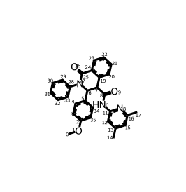 COc1ccc(C2C(C(=O)Nc3cc(C)cc(C)n3)c3ccccc3C(=O)N2c2ccccc2)cc1